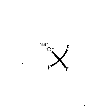 [Na+].[O-]C(F)(F)F